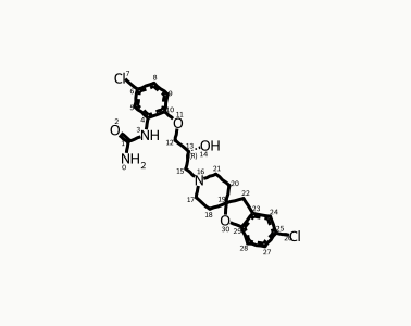 NC(=O)Nc1cc(Cl)ccc1OC[C@H](O)CN1CCC2(CC1)Cc1cc(Cl)ccc1O2